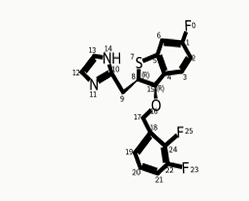 Fc1ccc2c(c1)S[C@H](Cc1ncc[nH]1)[C@@H]2OCc1cccc(F)c1F